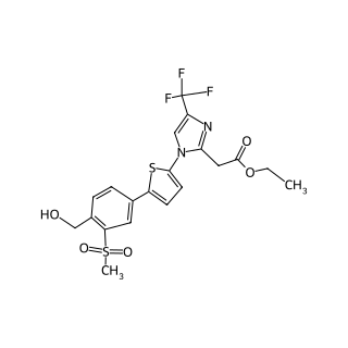 CCOC(=O)Cc1nc(C(F)(F)F)cn1-c1ccc(-c2ccc(CO)c(S(C)(=O)=O)c2)s1